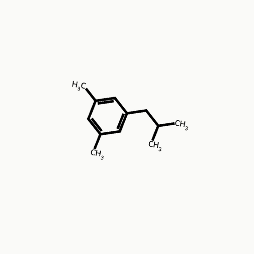 Cc1cc(C)cc(CC(C)C)c1